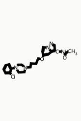 CC(=O)NCc1cnn2ccc(OCCCCN3CCN(c4ccccc4Cl)CC3)cc12